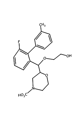 Cc1cccc(-c2c(F)cccc2C(OCCO)C2CN(C(=O)O)CCO2)c1